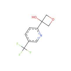 OC1(c2ccc(C(F)(F)F)cn2)COC1